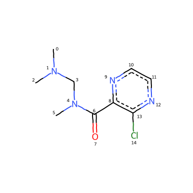 CN(C)CN(C)C(=O)c1nccnc1Cl